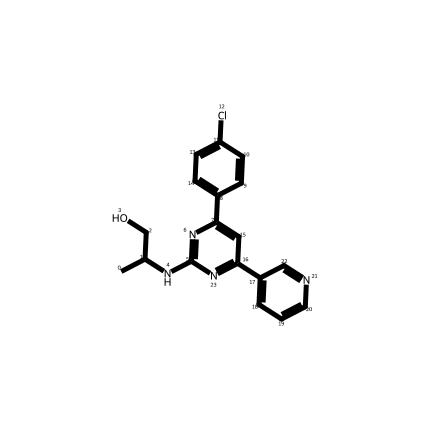 CC(CO)Nc1nc(-c2ccc(Cl)cc2)cc(-c2cccnc2)n1